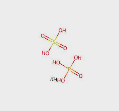 O=P(O)(O)O.O=S(=O)(O)O.[KH]